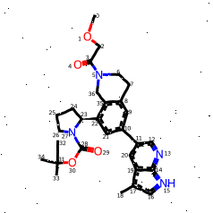 COCC(=O)N1CCc2cc(-c3cnc4[nH]cc(C)c4c3)cc([C@@H]3CCCN3C(=O)OC(C)(C)C)c2C1